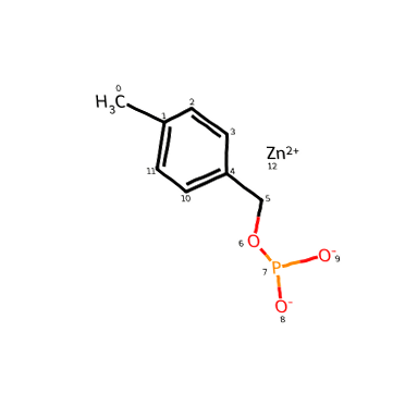 Cc1ccc(COP([O-])[O-])cc1.[Zn+2]